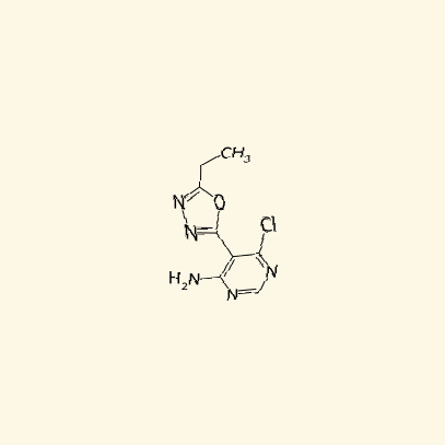 CCc1nnc(-c2c(N)ncnc2Cl)o1